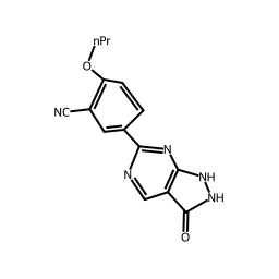 CCCOc1ccc(-c2ncc3c(=O)[nH][nH]c3n2)cc1C#N